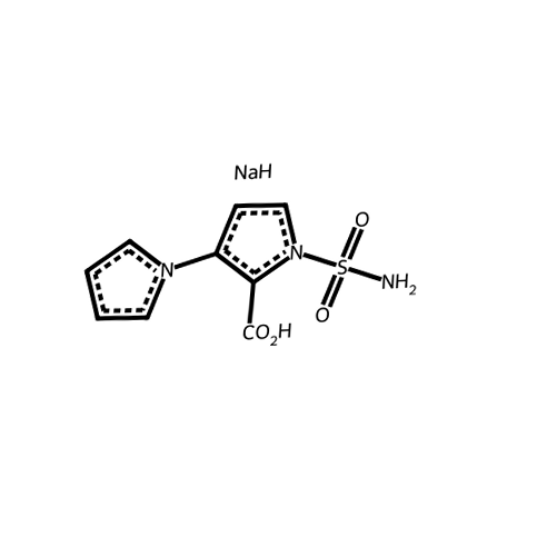 NS(=O)(=O)n1ccc(-n2cccc2)c1C(=O)O.[NaH]